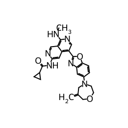 C=C1COCCN(c2ccc3oc(-c4cnc(NC)c5cnc(NC(=O)C6CC6)cc45)nc3c2)C1